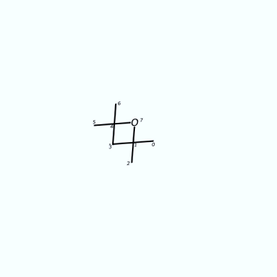 CC1(C)[CH]C(C)(C)O1